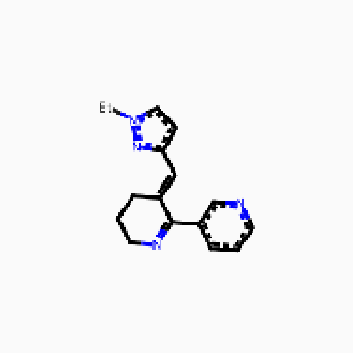 CCn1ccc(C=C2CCCN=C2c2cccnc2)n1